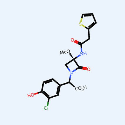 CO[C@]1(NC(=O)Cc2cccs2)CN(C(C(=O)O)c2ccc(O)c(Cl)c2)C1=O